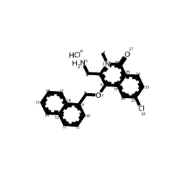 Cl.Cn1c(CN)c(OCc2cccc3ccccc23)c2cc(Cl)ccc2c1=O